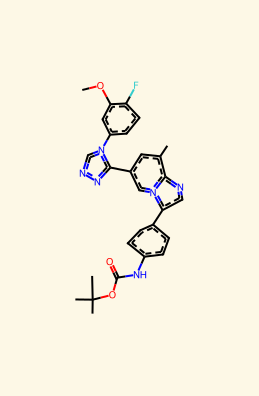 COc1cc(-n2cnnc2-c2cc(C)c3ncc(-c4ccc(NC(=O)OC(C)(C)C)cc4)n3c2)ccc1F